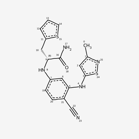 Cc1cc(Nc2cc(N[C@H](Cc3cccs3)C(N)=O)ccc2C#N)sn1